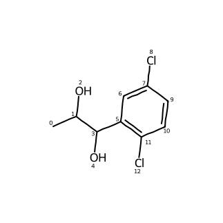 CC(O)C(O)c1cc(Cl)ccc1Cl